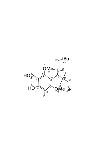 COc1c(C)c(O)c(S(=O)(=O)O)c(OC)c1C(C(C)(C)CC(C)C)C(C)(C)CC(C)(C)C